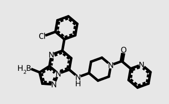 Bc1cnn2c(NC3CCN(C(=O)c4ccccn4)CC3)cc(-c3ccccc3Cl)nc12